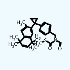 CSC(=O)N(C=O)Cc1ccc(C2(c3cc4c(cc3C)C(C)(C)C=CC4(C)C)CC2)cc1